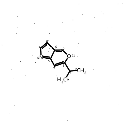 CC(C)c1cc2nccc-2co1